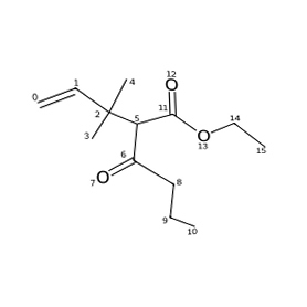 C=CC(C)(C)C(C(=O)CCC)C(=O)OCC